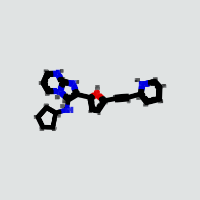 C(#Cc1ccc(-c2nc3ncccn3c2NC2CCCC2)o1)c1ccccn1